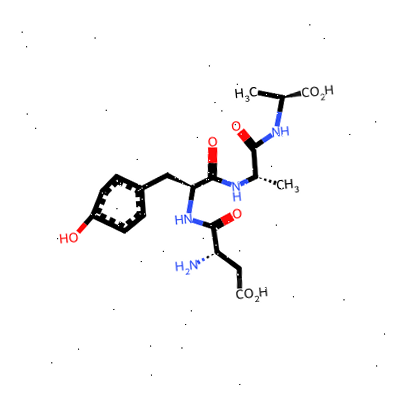 C[C@H](NC(=O)[C@H](C)NC(=O)[C@H](Cc1ccc(O)cc1)NC(=O)[C@@H](N)CC(=O)O)C(=O)O